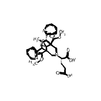 COC(=O)C12CN([C@@H](CCC(=O)O)C(=O)O)CC(C(=O)OC)([C@@H](c3ccccn3)N(C)C1c1ccccn1)[C@H]2O